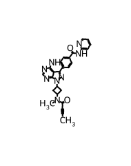 CC#CC(=O)N(C)C1CC(n2nc(-c3ccc(C(=O)Nc4ccccn4)cc3)c3c(N)ncnc32)C1